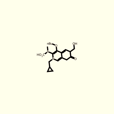 CCCCOC1=C(N(C)C(=O)O)N(CC2CC2)C=C2CC(=O)C(CO)C=C21